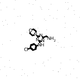 NCc1nc(Nc2ccc(Cl)cc2)nc(N2CCOCC2)n1